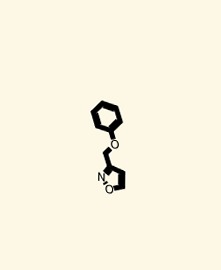 c1ccc(OCc2ccon2)cc1